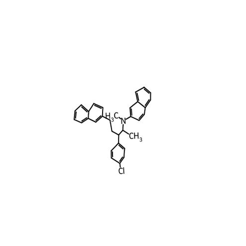 CC(C(CCc1ccc2ccccc2c1)c1ccc(Cl)cc1)N(C)c1ccc2ccccc2c1